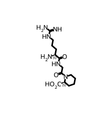 N=C(N)NCCC[C@H](N)C(=O)NCC(=O)N1CCCC[C@H]1C(=O)O